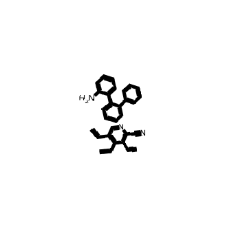 C=Cc1cnc(C#N)c(C=C)c1C=C.Nc1ccccc1-c1ccccc1-c1ccccc1